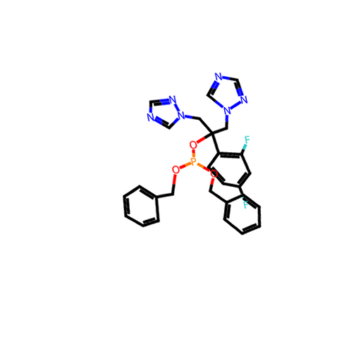 Fc1ccc(C(Cn2cncn2)(Cn2cncn2)OP(OCc2ccccc2)OCc2ccccc2)c(F)c1